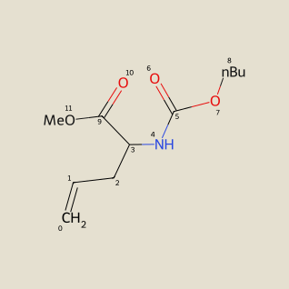 C=CCC(NC(=O)OCCCC)C(=O)OC